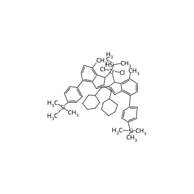 Cc1ccc(-c2ccc([Si](C)(C)C)cc2)c2c1[CH]([Zr]([Cl])([Cl])([CH]1C(CC3CCCCC3)=Cc3c(-c4ccc([Si](C)(C)C)cc4)ccc(C)c31)[SiH](C)C)C(CC1CCCCC1)=C2